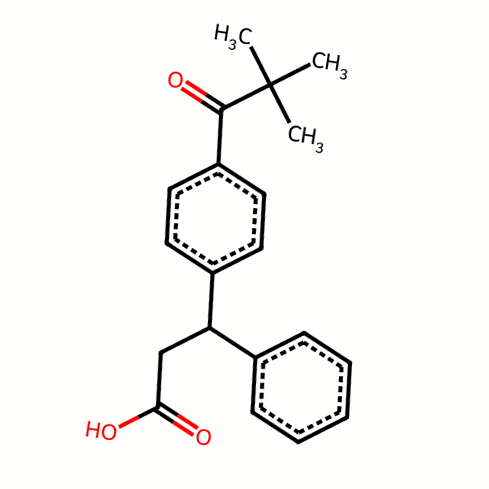 CC(C)(C)C(=O)c1ccc(C(CC(=O)O)c2ccccc2)cc1